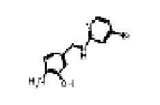 Nc1ccc(CNc2cc(Br)ccn2)cc1O